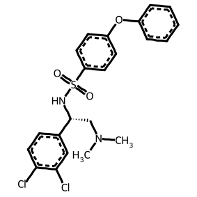 CN(C)C[C@@H](NS(=O)(=O)c1ccc(Oc2ccccc2)cc1)c1ccc(Cl)c(Cl)c1